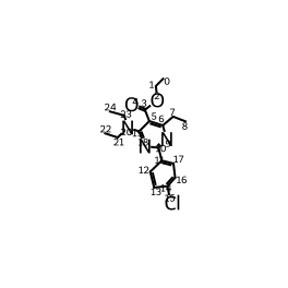 CCOC(=O)c1c(CC)nc(-c2ccc(Cl)cc2)nc1N(CC)CC